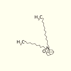 C=CCCCCCCCCC(=O)N(CCCCCCCCCCCCCC)C12CC3CC(CC(C3)C1)C2